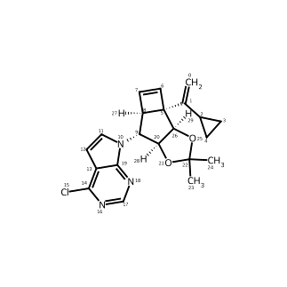 C=C(C1CC1)[C@@]12C=C[C@@H]1[C@@H](n1ccc3c(Cl)ncnc31)[C@@H]1OC(C)(C)O[C@@H]12